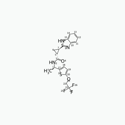 C[C@@H](NC(=O)[C@@H]1C[C@H]1c1nc2ccccc2[nH]1)c1ccc(OCC(F)(F)F)s1